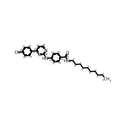 CCCCCCCCCCNC(=O)c1ccc(Nc2nccc(-c3ccc(Cl)cc3)n2)cc1